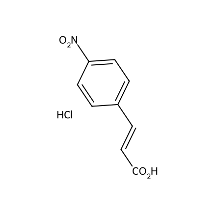 Cl.O=C(O)C=Cc1ccc([N+](=O)[O-])cc1